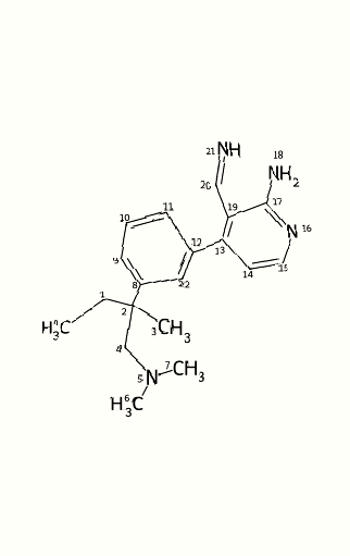 CCC(C)(CN(C)C)c1cccc(-c2ccnc(N)c2C=N)c1